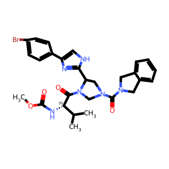 COC(=O)N[C@H](C(=O)N1CN(C(=O)N2Cc3ccccc3C2)CC1c1nc(-c2ccc(Br)cc2)c[nH]1)C(C)C